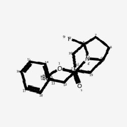 CC(C)(C)OC(=O)N1C2CCC1(F)CN(Cc1ccccc1)C2